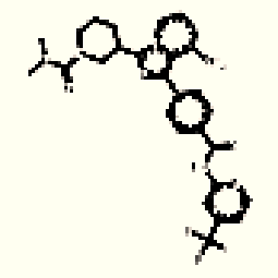 CN(C)C(=O)N1CCCC(c2nc(-c3ccc(C(=O)Nc4cc(C(F)(F)F)ccn4)cc3)c3c(N)nccn23)C1